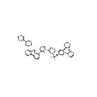 FC(F)(F)c1cc(-c2cccc(-c3cccc4c3oc3c(-c5cccc(-c6ccccc6)n5)cccc34)n2)ccc1-c1ccc2c3ccccc3c3ccccc3c2c1